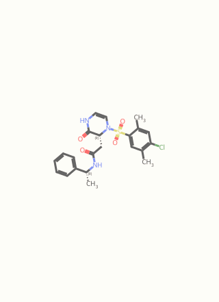 Cc1cc(S(=O)(=O)N2C=CNC(=O)[C@H]2CC(=O)N[C@H](C)c2ccccc2)c(C)cc1Cl